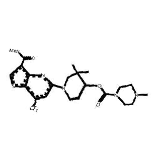 CNC(=O)c1csc2c(C(F)(F)F)cc(N3CCC(OC(=O)N4CCN(C)CC4)C(C)(C)C3)nc12